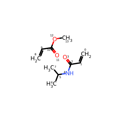 C=CC(=O)NC(C)C.C=CC(=O)OC